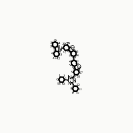 c1ccc(-c2nc(-c3ccccc3)nc(-c3ccc4oc5cc(-c6ccc7oc8ccc(-n9c%10ccccc%10c%10ccccc%109)cc8c7c6)ccc5c4c3)n2)cc1